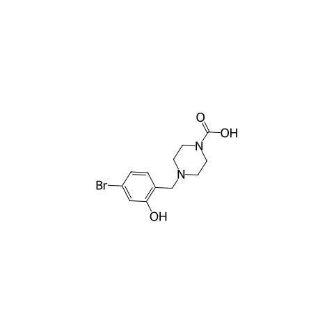 O=C(O)N1CCN(Cc2ccc(Br)cc2O)CC1